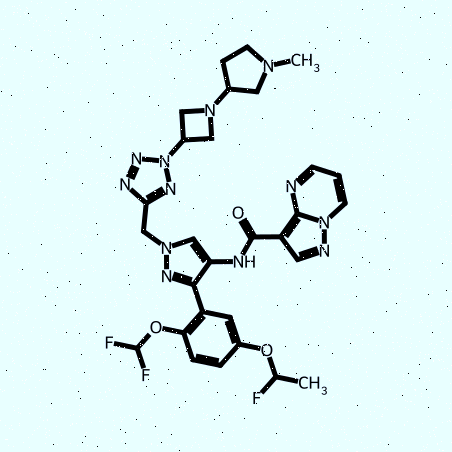 CC(F)Oc1ccc(OC(F)F)c(-c2nn(Cc3nnn(C4CN(C5CCN(C)C5)C4)n3)cc2NC(=O)c2cnn3cccnc23)c1